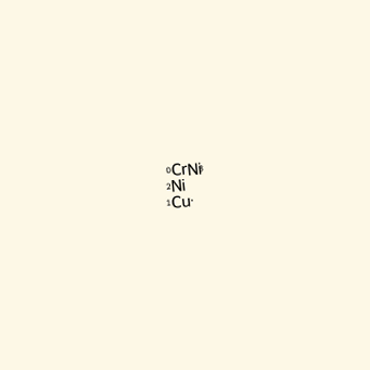 [Cr].[Cu].[Ni].[Ni]